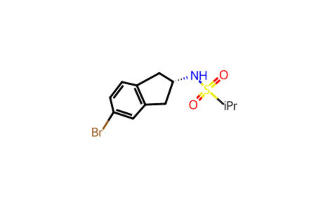 CC(C)S(=O)(=O)N[C@H]1Cc2ccc(Br)cc2C1